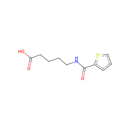 O=C(O)CCCCNC(=O)c1cccs1